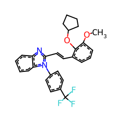 COc1cccc(/C=C/c2nc3ccccc3n2-c2ccc(C(F)(F)F)cc2)c1OC1CCCC1